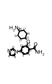 NC(=O)c1ccc(-n2ccnc2)cc1OC1CCC(N)CC1